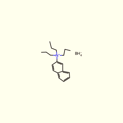 CCC[N+](CCC)(CCC)c1ccc2ccccc2c1.[BH4-]